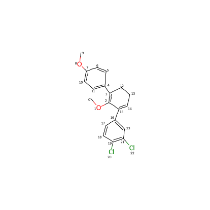 COC1=C(c2ccc(OC)cc2)[CH]CC=C1c1ccc(Cl)c(Cl)c1